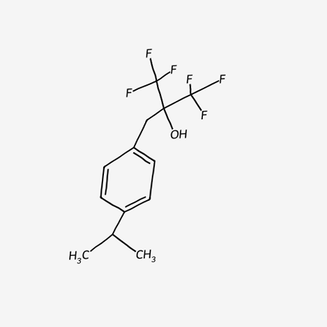 CC(C)c1ccc(CC(O)(C(F)(F)F)C(F)(F)F)cc1